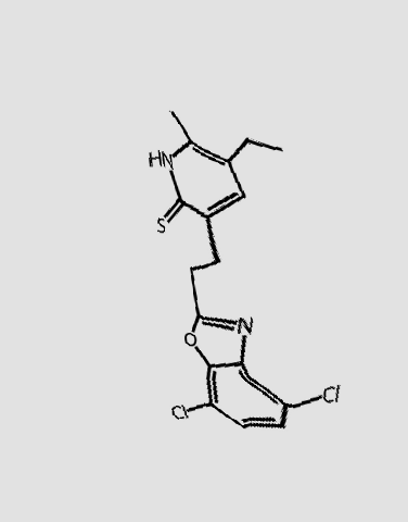 CCc1cc(CCc2nc3c(Cl)ccc(Cl)c3o2)c(=S)[nH]c1C